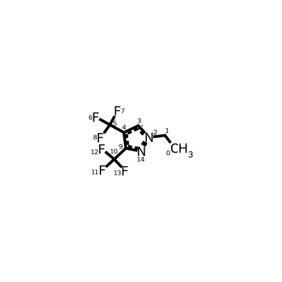 CCn1[c]c(C(F)(F)F)c(C(F)(F)F)n1